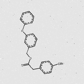 CC(C)COc1ccc(CC(=O)OCc2cccc(Oc3ccccc3)c2)cc1